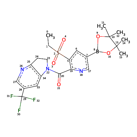 CCS(=O)(=O)c1cc(B2OC(C)(C)C(C)(C)O2)cnc1C(=O)N1CCc2ncc(C(F)(F)F)cc21